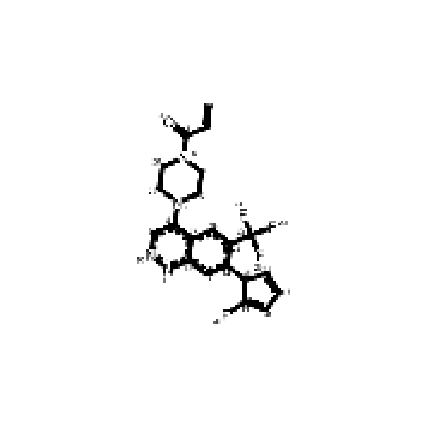 C=CC(=O)N1CCN(c2cnnc3cc(C4C=CC=C4F)c(C(F)(F)F)cc23)CC1